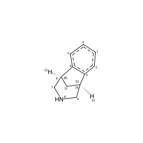 c1ccc2c(c1)[C@@H]1CNC[C@H]2C1